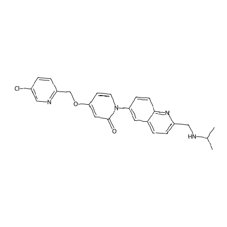 CC(C)NCc1ccc2cc(-n3ccc(OCc4ccc(Cl)cn4)cc3=O)ccc2n1